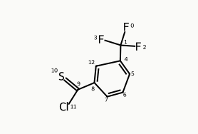 FC(F)(F)c1cccc(C(=S)Cl)c1